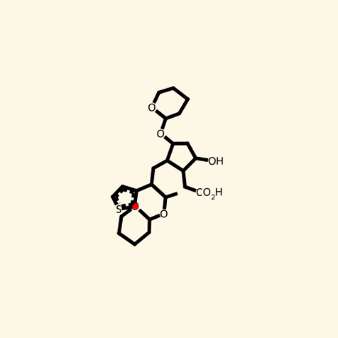 CC(OC1CCCCO1)C(CC1C(OC2CCCCO2)CC(O)C1CC(=O)O)c1ccsc1